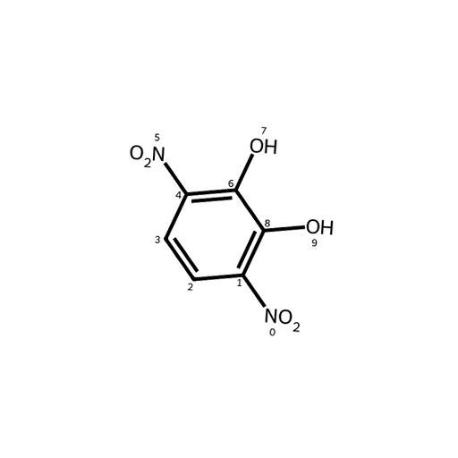 O=[N+]([O-])c1ccc([N+](=O)[O-])c(O)c1O